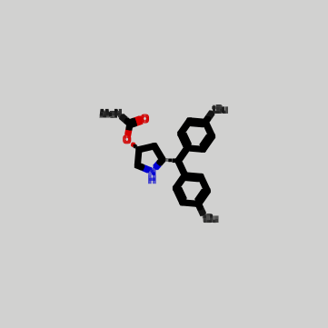 CNC(=O)O[C@H]1CN[C@@H](C(c2ccc(C(C)(C)C)cc2)c2ccc(C(C)(C)C)cc2)C1